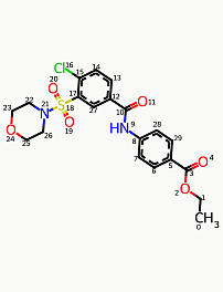 CCOC(=O)c1ccc(NC(=O)c2ccc(Cl)c(S(=O)(=O)N3CCOCC3)c2)cc1